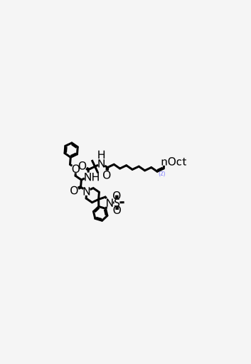 CCCCCCCC/C=C\CCCCCCCC(=O)NC(C)(C)C(=O)NC(COCc1ccccc1)C(=O)N1CCC2(CC1)CN(S(C)(=O)=O)c1ccccc12